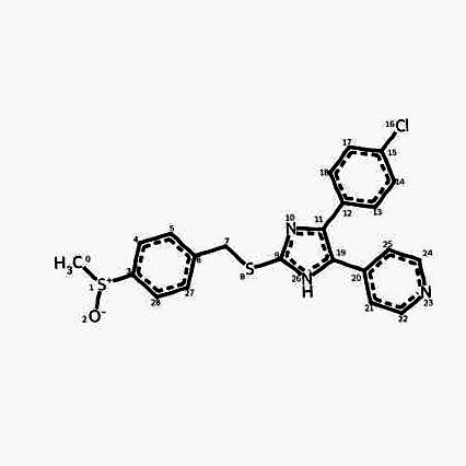 C[S+]([O-])c1ccc(CSc2nc(-c3ccc(Cl)cc3)c(-c3ccncc3)[nH]2)cc1